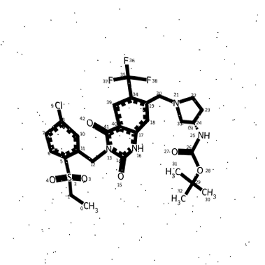 CCS(=O)(=O)c1ccc(Cl)cc1Cn1c(=O)[nH]c2cc(CN3CC[C@H](NC(=O)OC(C)(C)C)C3)c(C(F)(F)F)cc2c1=O